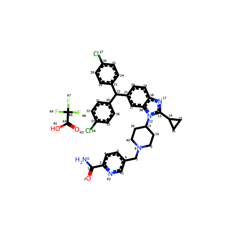 NC(=O)c1ccc(CN2CCC(n3c(C4CC4)nc4ccc(C(c5ccc(Cl)cc5)c5ccc(Cl)cc5)cc43)CC2)cn1.O=C(O)C(F)(F)F